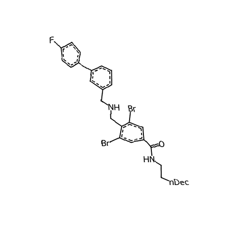 CCCCCCCCCCCCNC(=O)c1cc(Br)c(CNCc2cccc(-c3ccc(F)cc3)c2)c(Br)c1